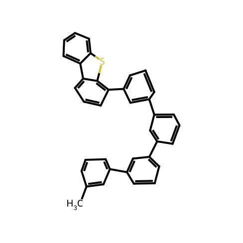 Cc1cccc(-c2cccc(-c3cccc(-c4cccc(-c5cccc6c5sc5ccccc56)c4)c3)c2)c1